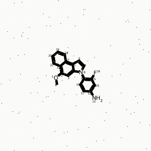 COc1cc2c(c[c]n2-c2ccc(N)cc2F)c2ccccc12